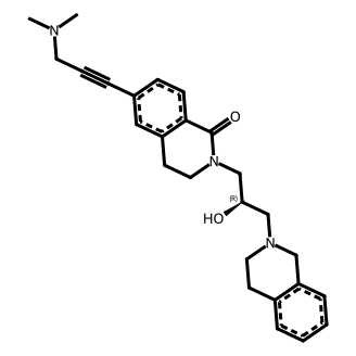 CN(C)CC#Cc1ccc2c(c1)CCN(C[C@H](O)CN1CCc3ccccc3C1)C2=O